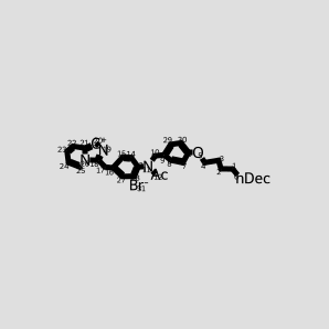 CCCCCCCCCCCCCCOc1ccc(CN(C(C)=O)c2ccc(CC3=N[C+]=C4C=CC=CN43)cc2)cc1.[Br-]